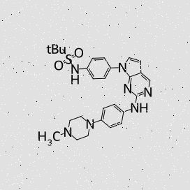 CN1CCN(c2ccc(Nc3ncc4ccn(-c5ccc(NS(=O)(=O)C(C)(C)C)cc5)c4n3)cc2)CC1